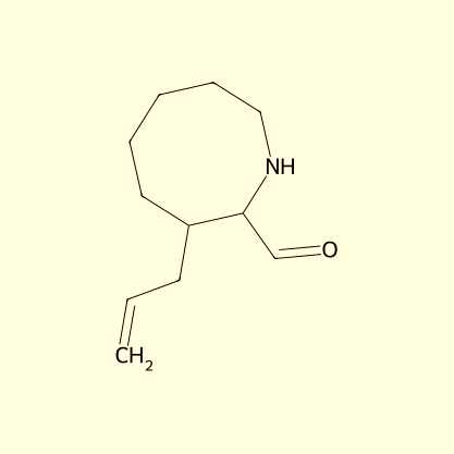 C=CCC1CCCCCNC1C=O